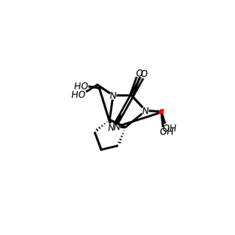 O=C1N(CO)[C@]23CCC[C@]2(N(CO)C(=O)N3CO)N1CO